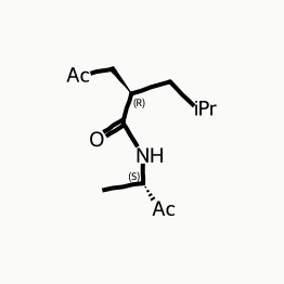 CC(=O)C[C@@H](CC(C)C)C(=O)N[C@@H](C)C(C)=O